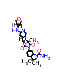 CC1(C)CN(C(N)=O)c2cc(N3C(=O)N(Cc4ccnc(NC5[C@H]6COC[C@@H]56)c4)C(C)(C)C3=O)ccc21